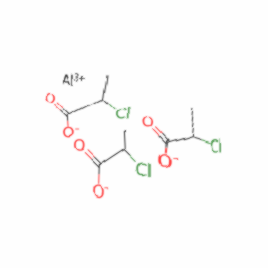 CC(Cl)C(=O)[O-].CC(Cl)C(=O)[O-].CC(Cl)C(=O)[O-].[Al+3]